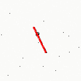 CCCCC=CCCCCCCCC(=O)OCCCCCCCCCCCCCCCCCCCCCCCCCCCCCCCCCCC(C)C